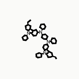 C=Cc1ccc2c(c1)c1cc(N(c3ccccc3)c3ccc(N(c4ccccc4)c4ccc5c(c4)c4cc(C=C)ccc4n5-c4ccccc4)cc3)ccc1n2-c1ccccc1